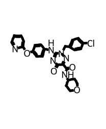 O=C(NC1CCOCC1)c1nn(Cc2ccc(Cl)cc2)c(Nc2ccc(Oc3ccccn3)cc2)nc1=O